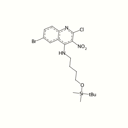 CC(C)(C)[Si](C)(C)OCCCCNc1c([N+](=O)[O-])c(Cl)nc2ccc(Br)cc12